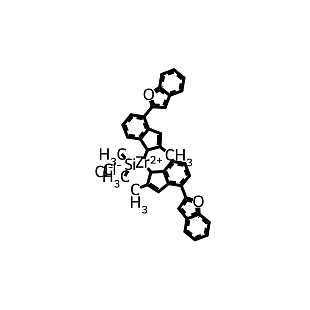 CC1=Cc2c(-c3cc4ccccc4o3)cccc2[CH]1[Zr+2]([CH]1C(C)=Cc2c(-c3cc4ccccc4o3)cccc21)=[Si](C)C.[Cl-].[Cl-]